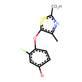 Cc1nc(C(=O)O)sc1Oc1ccc(Br)cc1F